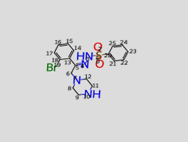 O=S(=O)(NN=C(CN1CCNCC1)c1ccccc1Br)c1ccccc1